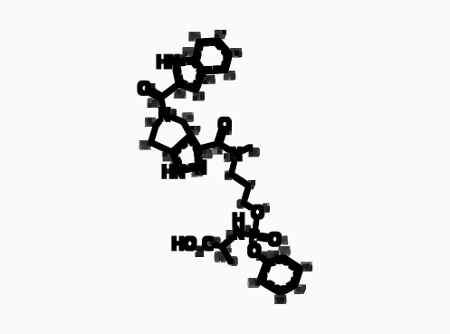 C[C@H](NP(=O)(OCCCN(C)C(=O)c1n[nH]c2c1CN(C(=O)c1cc3ccccc3[nH]1)CC2)Oc1ccccc1)C(=O)O